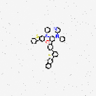 c1ccc(N(c2cccnc2)c2cc(N(c3ccccc3)c3ccc4c(c3)sc3ccccc34)c3oc4ccc(-c5cccc6c5sc5cc7ccccc7cc56)cc4c3c2)cc1